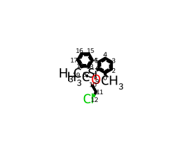 Cc1ccccc1[Si](C)(OCCCl)c1ccccc1C